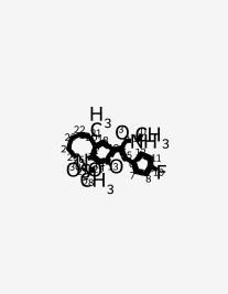 CNC(=O)c1c(-c2ccc(F)cc2)oc2cc3c(cc12)/C(C)=C\CCCN3S(C)(=O)=O